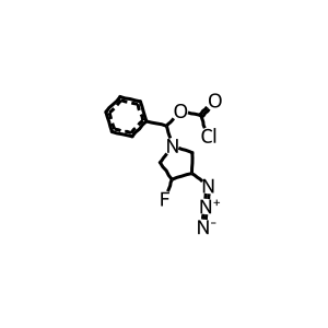 [N-]=[N+]=NC1CN(C(OC(=O)Cl)c2ccccc2)CC1F